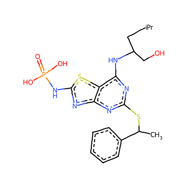 CC(C)CC(CO)Nc1nc(SC(C)c2ccccc2)nc2nc(NP(=O)(O)O)sc12